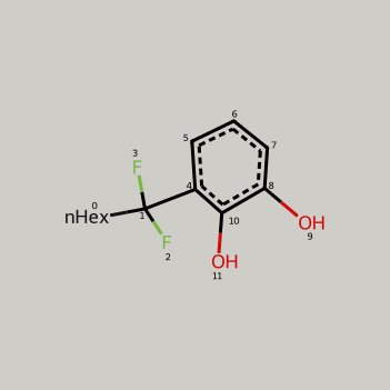 CCCCCCC(F)(F)c1cccc(O)c1O